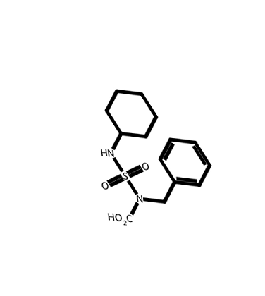 O=C(O)N(Cc1ccccc1)S(=O)(=O)NC1CCCCC1